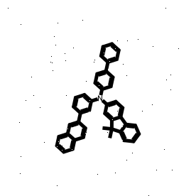 CC1(C)c2ccccc2-c2ccc(N(c3ccc(-c4ccccc4)cc3)c3cccc(-c4ccc5ccccc5c4)c3)cc21